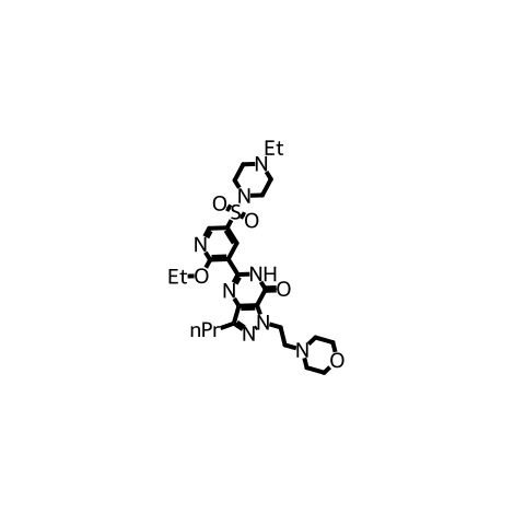 CCCc1nn(CCN2CCOCC2)c2c(=O)[nH]c(-c3cc(S(=O)(=O)N4CCN(CC)CC4)cnc3OCC)nc12